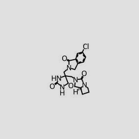 O=C1NC(=O)C(CN2Cc3ccc(Cl)cc3C2=O)(CN2C[C@@H]3CCCN3C2=O)N1